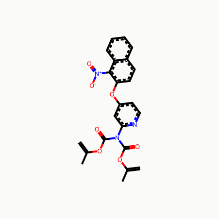 C=C(C)OC(=O)N(C(=O)OC(=C)C)c1cc(Oc2ccc3ccccc3c2[N+](=O)[O-])ccn1